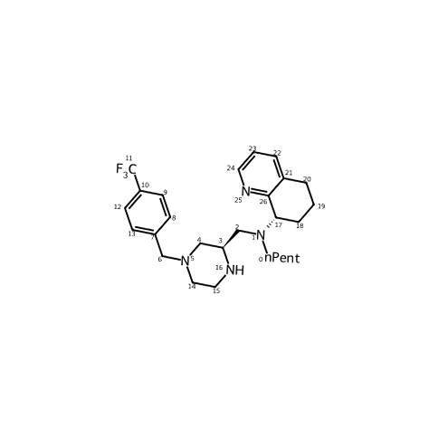 CCCCCN(C[C@@H]1CN(Cc2ccc(C(F)(F)F)cc2)CCN1)[C@H]1CCCc2cccnc21